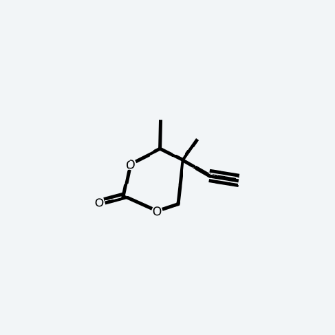 C#CC1(C)COC(=O)OC1C